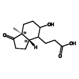 C[C@]12CCC(O)C(CCC(=O)O)[C@@H]1CCC2=O